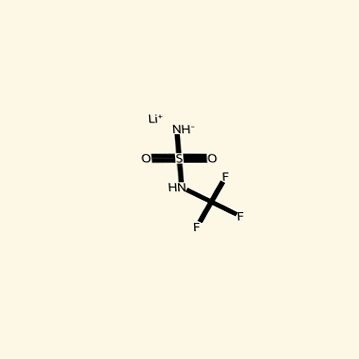 [Li+].[NH-]S(=O)(=O)NC(F)(F)F